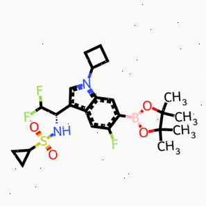 CC1(C)OB(c2cc3c(cc2F)c([C@H](NS(=O)(=O)C2CC2)C(F)F)cn3C2CCC2)OC1(C)C